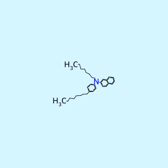 CCCCCCCCc1ccc(N(CCCCCCCC)c2ccc3ccccc3c2)cc1